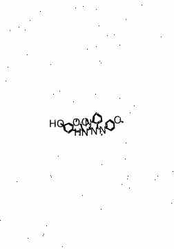 COC(=O)[C@H](Cc1ccc(O)cc1)Nc1nc(N(C)c2ccc(OC)cc2)c2ccccc2n1